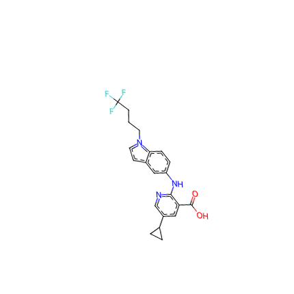 O=C(O)c1cc(C2CC2)cnc1Nc1ccc2c(ccn2CCCC(F)(F)F)c1